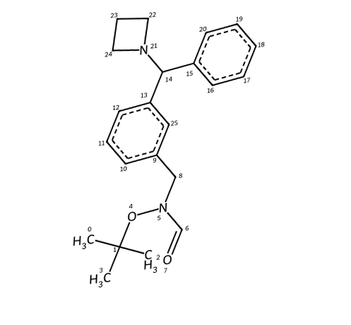 CC(C)(C)ON(C=O)Cc1cccc(C(c2ccccc2)N2CCC2)c1